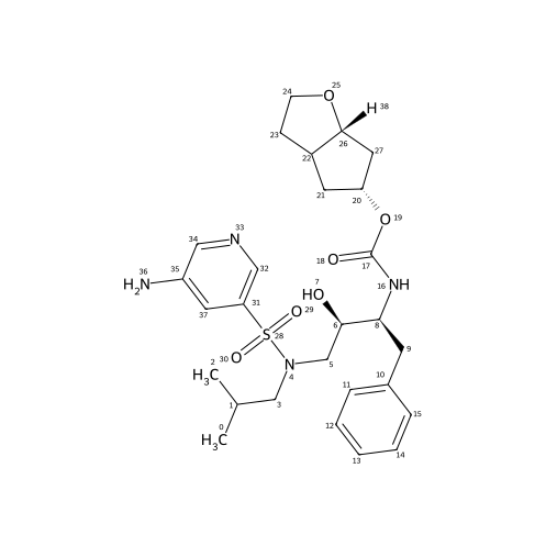 CC(C)CN(C[C@@H](O)[C@H](Cc1ccccc1)NC(=O)O[C@@H]1CC2CCO[C@@H]2C1)S(=O)(=O)c1cncc(N)c1